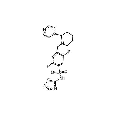 O=S(=O)(Nc1ncns1)c1cc(F)c(CN2CCCC[C@@H]2c2ccnnc2)cc1F